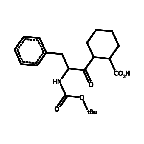 CC(C)(C)OC(=O)NC(Cc1ccccc1)C(=O)C1CCCCC1C(=O)O